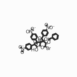 O=C(c1ccc([N+](=O)[O-])cc1)C(O)[C@H]1O[C@H](Br)[C@H](OCc2ccccc2)[C@](O)(C(=O)c2ccc([N+](=O)[O-])cc2)[C@@]1(O)C(=O)c1ccc([N+](=O)[O-])cc1